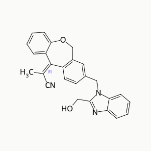 C/C(C#N)=C1/c2ccc(Cn3c(CO)nc4ccccc43)cc2COc2ccccc21